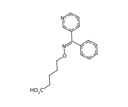 O=C(O)CCCCO/N=C(\c1ccccc1)c1cccnc1